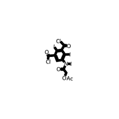 CC(=O)OCC(=O)N(I)c1cc(C(=O)Cl)c(I)c(C(=O)Cl)c1I